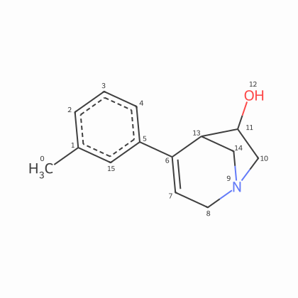 Cc1cccc(C2=CCN3CC(O)C2C3)c1